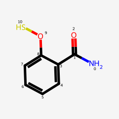 NC(=O)c1ccccc1OS